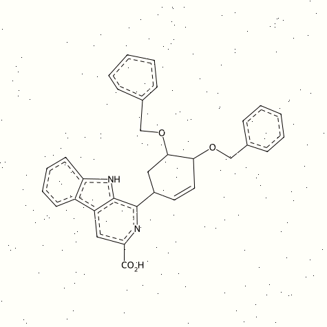 O=C(O)c1cc2c([nH]c3ccccc32)c(C2C=CC(OCc3ccccc3)C(OCc3ccccc3)C2)n1